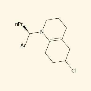 CCC[C@H](C(C)=O)N1CCCC2=C1CCC(Cl)C2